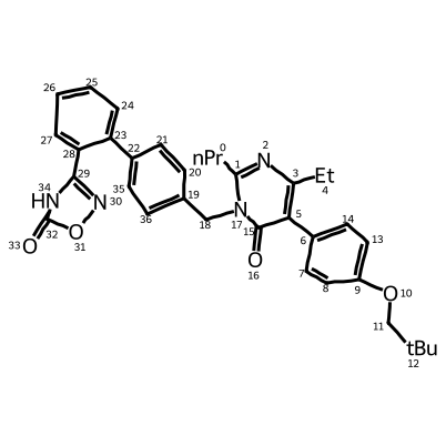 CCCc1nc(CC)c(-c2ccc(OCC(C)(C)C)cc2)c(=O)n1Cc1ccc(-c2ccccc2-c2noc(=O)[nH]2)cc1